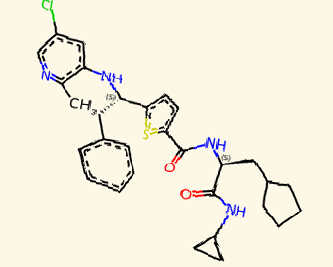 Cc1ncc(Cl)cc1N[C@@H](Cc1ccccc1)c1ccc(C(=O)N[C@@H](CC2CCCC2)C(=O)NC2CC2)s1